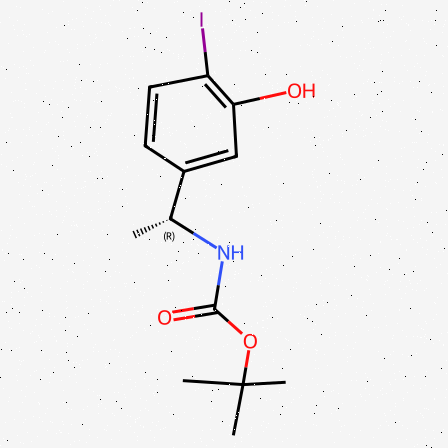 C[C@@H](NC(=O)OC(C)(C)C)c1ccc(I)c(O)c1